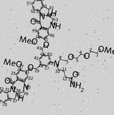 COCCOCCOCCN(CCCC(N)=O)c1cc(COc2cc3c(cc2OC)C(=O)N2c4ccccc4C[C@H]2C=N3)cc(COc2cc3c(cc2OC)C(=O)N2c4ccccc4C[C@H]2CN3)c1